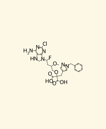 COC(COC(Cc1cnn(Cc2ccccc2)c1)(C(=O)O)C(=O)O)CC(F)N1CNc2c(N)nc(Cl)nc21